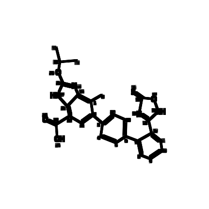 Cc1c(-c2ccc(-c3ccccc3-c3nc(=S)o[nH]3)cc2)cc(C(=O)O)c2[nH]c(OC(C)C)nc12